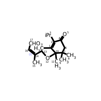 CC1=C(C(C)C)C(=O)CC(C)(C)C1(C)OC/C(C)=C\C=O